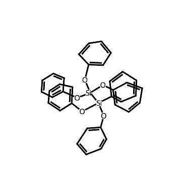 c1ccc(O[Si](Oc2ccccc2)(Oc2ccccc2)[Si](Oc2ccccc2)(Oc2ccccc2)c2ccccc2)cc1